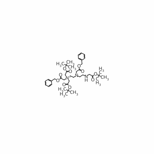 CC(C)(C)OC(=O)CNCCN(CC[N+](CC(=O)OCc1ccccc1)(CC(=O)OC(C)(C)C)CC(=O)OC(C)(C)C)CC(=O)OCc1ccccc1